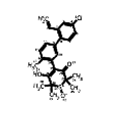 C=Cc1cc(Cl)ccc1-c1ccc(C)c(C2=C(O)C(C)(C)[S+]([O-])C(C)(C)C2=O)c1